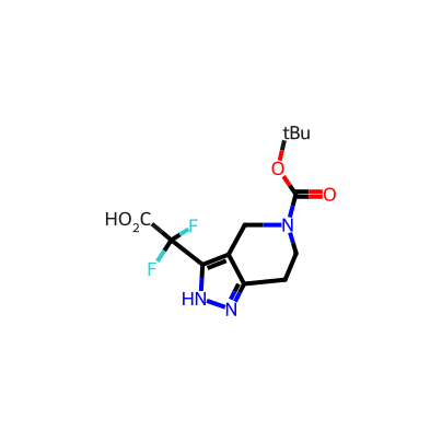 CC(C)(C)OC(=O)N1CCc2n[nH]c(C(F)(F)C(=O)O)c2C1